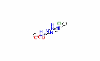 O=C(/C=C/c1cnc(N[C@@H]2CCCN(CCc3ccccc3Cl)C2)cn1)NOC1CCCCO1